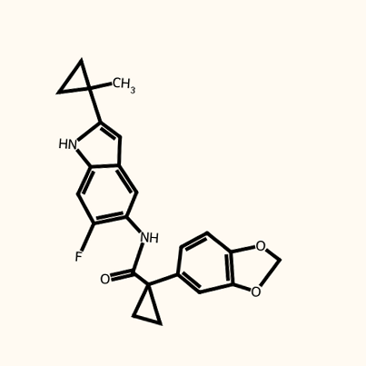 CC1(c2cc3cc(NC(=O)C4(c5ccc6c(c5)OCO6)CC4)c(F)cc3[nH]2)CC1